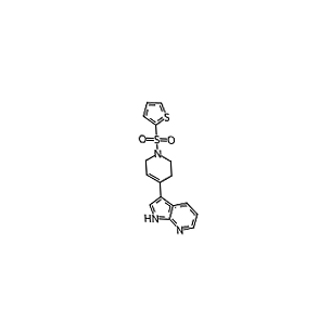 O=S(=O)(c1cccs1)N1CC=C(c2c[nH]c3ncccc23)CC1